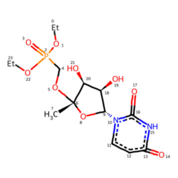 CCOP(=O)(CO[C@@]1(C)O[C@@H](n2ccc(=O)[nH]c2=O)[C@H](O)[C@@H]1O)OCC